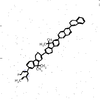 C=C/C(F)=C\C(=C/CF)c1ccc2c(c1)C(C)(C)C1=C2CCC(C2=CC3=C(CC2)c2ccc(-c4ccc5cc(C6=Cc7ccccc7CC6)ccc5c4)cc2C3(C)C)=C1